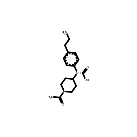 NCCc1ccc(NC2CCN(C(N)=O)CC2)cc1.O=CO